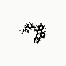 NS(=O)(=O)c1cncc(-c2nc(NCc3cnccn3)c3c(-c4ccccc4)cccc3n2)c1